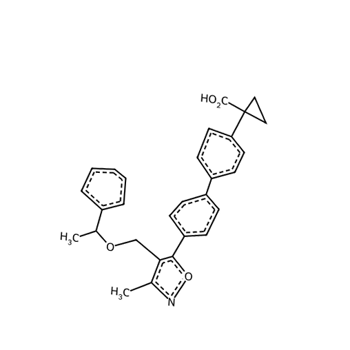 Cc1noc(-c2ccc(-c3ccc(C4(C(=O)O)CC4)cc3)cc2)c1COC(C)c1ccccc1